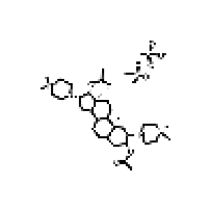 CC(=O)O[C@H]1CC2CCC3C(CC[C@@]4(C)C3C[C@H](N3CC[N+](C)(C)CC3)[C@@H]4OC(C)=O)[C@@]2(C)C[C@@H]1N1CC[N+](C)(C)CC1.CS(=O)(=O)[O-].CS(=O)(=O)[O-]